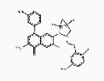 COc1ccc(F)c(OC[C@H]2C[C@H]3C[C@H]3N2c2cc3c(cc2F)c(=O)c(C(=O)O)cn3-c2ccnc(N)c2)n1